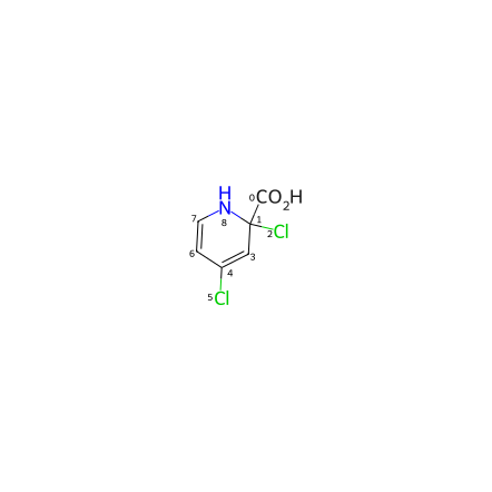 O=C(O)C1(Cl)C=C(Cl)C=CN1